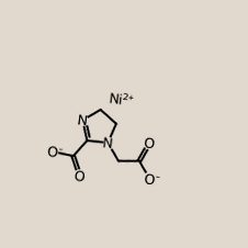 O=C([O-])CN1CCN=C1C(=O)[O-].[Ni+2]